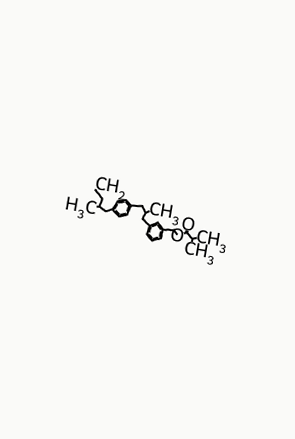 C=CCC(C)Cc1ccc(CC(C)Cc2cccc(COC(=O)C(C)C)c2)cc1